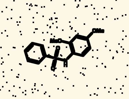 COc1ccc(NS(=O)(=O)c2ccccc2)c(OC)c1